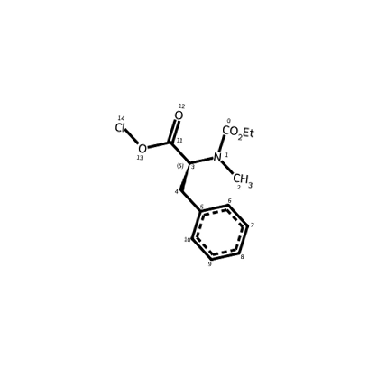 CCOC(=O)N(C)[C@@H](Cc1ccccc1)C(=O)OCl